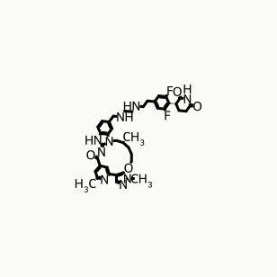 Cc1cc2cc(n1)-c1cnn(C)c1OCCC[C@@H](C)CN1/C(=N/C2=O)Nc2ccc(CNCCNCCc3cc(F)c([C@H]4CCC(=O)NC4=O)c(F)c3)cc21